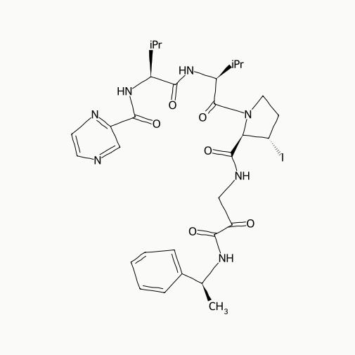 CC(C)[C@H](NC(=O)c1cnccn1)C(=O)N[C@H](C(=O)N1CC[C@H](I)[C@H]1C(=O)NCC(=O)C(=O)N[C@@H](C)c1ccccc1)C(C)C